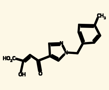 Cc1ccc(Cn2cc(C(=O)C=C(O)C(=O)O)cn2)cc1